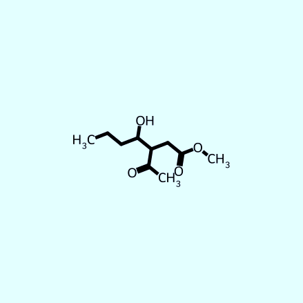 CCCC(O)C(CC(=O)OC)C(C)=O